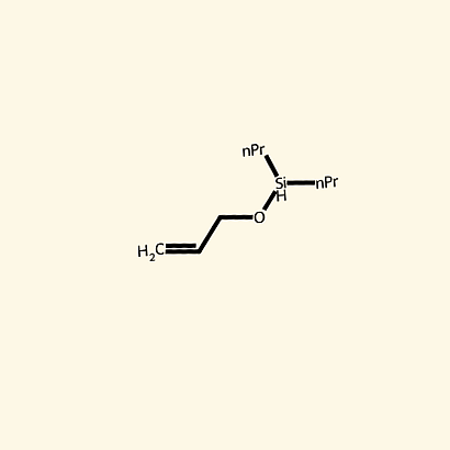 C=CCO[SiH](CCC)CCC